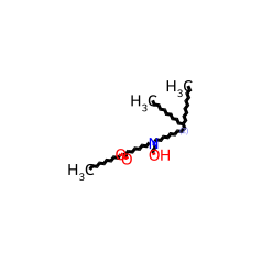 CCCCCCCCCCC(/C=C\CCCCCCCN(CCO)CCCCCCCC(=O)OCCCCCCCCC)CCCCCCCCCC